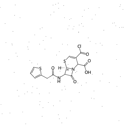 O=C(Cc1cccs1)NC1C(=O)N2C(C(=O)O)C(C(=O)Cl)=CS[C@H]12